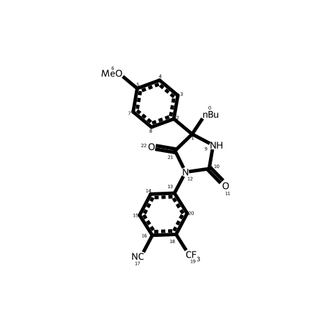 CCCCC1(c2ccc(OC)cc2)NC(=O)N(c2ccc(C#N)c(C(F)(F)F)c2)C1=O